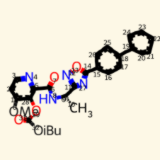 COc1ccnc(C(=O)N[C@@H](C)c2noc(-c3ccc(-c4ccccc4)cc3)n2)c1OC(=O)OCC(C)C